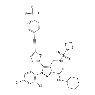 O=C(NN1CCCCC1)c1nn(-c2ccc(Cl)cc2Cl)c(-c2ccc(C#Cc3ccc(C(F)(F)F)cc3)s2)c1CNS(=O)(=O)N1CCC1